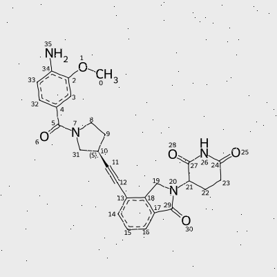 COc1cc(C(=O)N2CC[C@@H](C#Cc3cccc4c3CN(C3CCC(=O)NC3=O)C4=O)C2)ccc1N